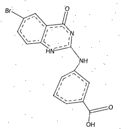 O=C(O)c1cccc(Nc2nc(=O)c3cc(Br)ccc3[nH]2)c1